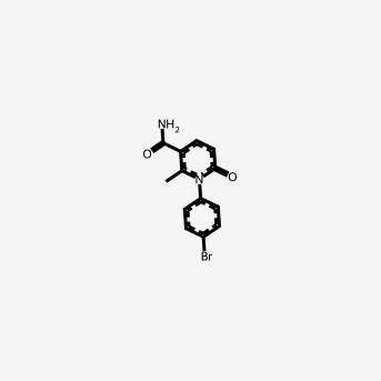 Cc1c(C(N)=O)ccc(=O)n1-c1ccc(Br)cc1